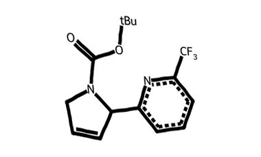 CC(C)(C)OC(=O)N1CC=CC1c1cccc(C(F)(F)F)n1